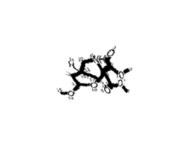 COC(=O)C1(C(=O)OC)NC[C@@H]2CC(OC)O[C@@]21C